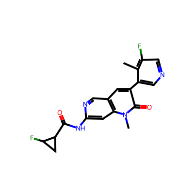 Cc1c(F)cncc1-c1cc2cnc(NC(=O)C3CC3F)cc2n(C)c1=O